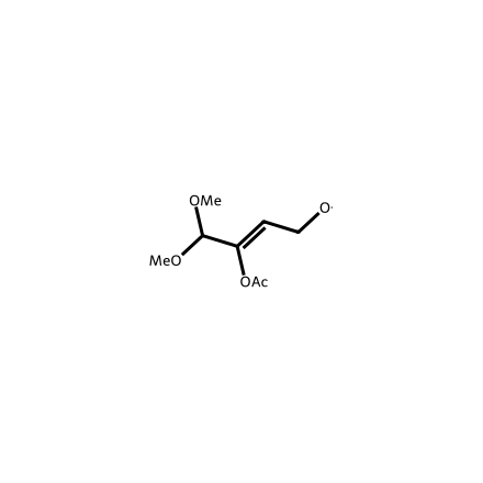 COC(OC)C(=CC[O])OC(C)=O